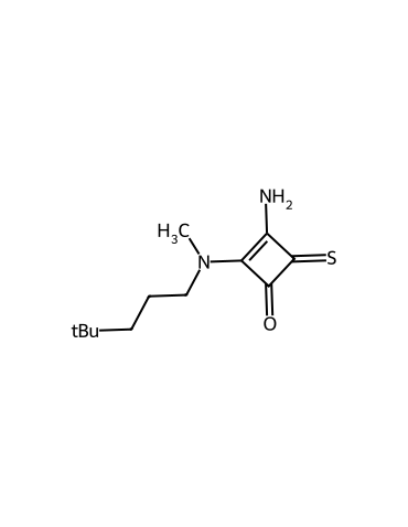 CN(CCCC(C)(C)C)c1c(N)c(=S)c1=O